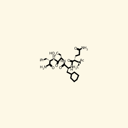 CC(=O)N(C)[C@@H](CCC(N)=O)C(=O)N[C@@H](CC1CCCCC1)C(=O)N[C@@H](CC(=O)O)C(=O)N[C@@H](CC(C)C)C(N)=O